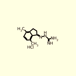 Cc1ccc(C)c2c1CCC2=NNC(=N)N.Cl